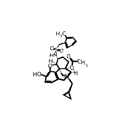 CC(=O)O[C@@]12CC[C@@H](NS(=O)(=O)Cc3ccccc3C)[C@@H]3Oc4c(O)ccc5c4[C@@]31CCN(CC1CC1)[C@@H]2C5